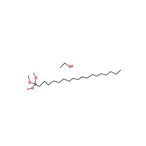 CCCCCCCCCCCCCCCCCC[Si](OC)(OC)OC.CCO